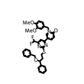 COc1ccc(Cn2cc(-c3cc(C(F)F)nc(SCCC(OCc4ccccc4)c4ccccc4)n3)ccc2=O)cc1OC